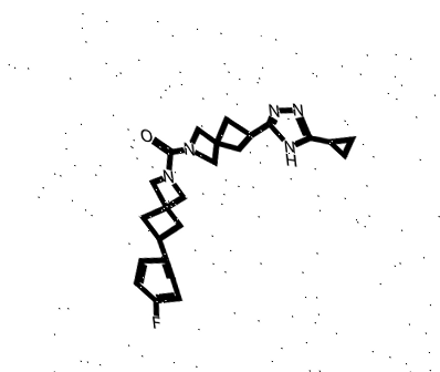 O=C(N1CC2(CC(c3ccc(F)cc3)C2)C1)N1CC2(CC(c3nnc(C4CC4)[nH]3)C2)C1